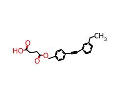 CCc1cccc(C#Cc2ccc(COC(=O)CCC(=O)O)cc2)c1